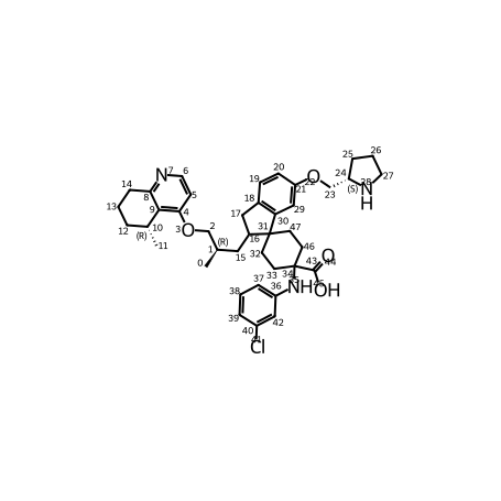 C[C@@H](COc1ccnc2c1[C@H](C)CCC2)CC1Cc2ccc(OC[C@@H]3CCCN3)cc2C12CCC(Nc1cccc(Cl)c1)(C(=O)O)CC2